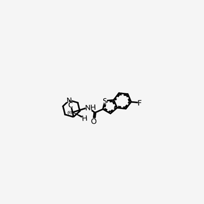 O=C(N[C@H]1CN2CCC1CC2)c1cc2cc(F)ccc2s1